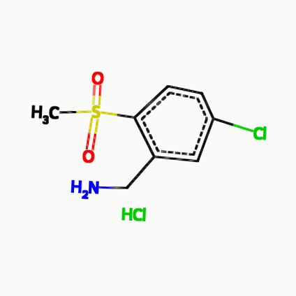 CS(=O)(=O)c1ccc(Cl)cc1CN.Cl